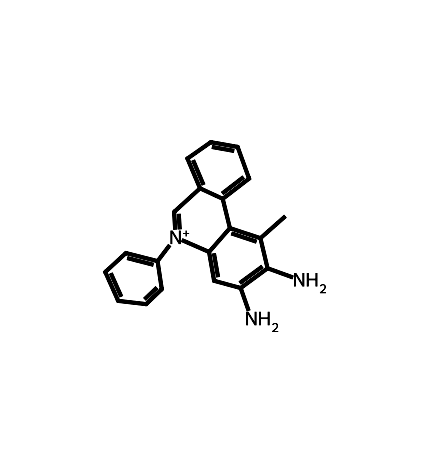 Cc1c(N)c(N)cc2c1c1ccccc1c[n+]2-c1ccccc1